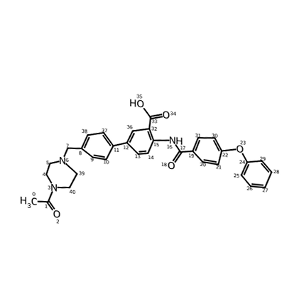 CC(=O)N1CCN(Cc2ccc(-c3ccc(NC(=O)c4ccc(Oc5ccccc5)cc4)c(C(=O)O)c3)cc2)CC1